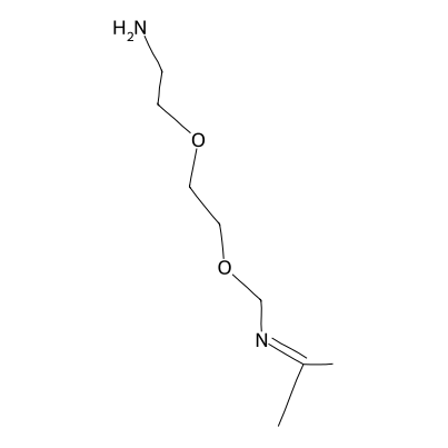 CC(C)=NCOCCOCCN